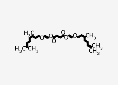 CC(C)=CCCC(C)CCOC=COC(=O)CCC(=O)OC=COCCC(C)CCC=C(C)C